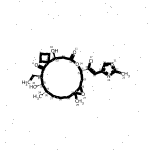 CC[C@H]1C(=O)C2(CCC2)[C@@H](O)CC(=O)O[C@H](C(Cl)=Cc2csc(C)n2)CC2OC2(C)CCC[C@H](C)[C@@H]1O